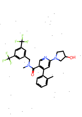 Cc1ccccc1-c1cc(N2CCC(O)C2)ncc1C(=O)N(C)Cc1cc(C(F)(F)F)cc(C(F)(F)F)c1